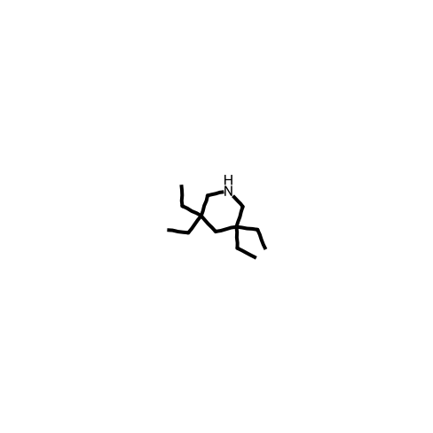 CCC1(CC)CNCC(CC)(CC)C1